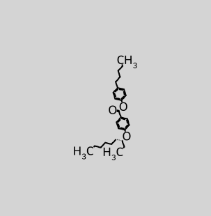 CCCCCC[C@@H](CC)Oc1ccc(C(=O)Oc2ccc(CCCCC)cc2)cc1